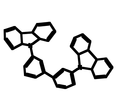 C1=CC2C3C=CC=CC3N(c3cccc(-c4cccc(N5C6C=CC=CC6C6C=CC=CC65)c4)c3)C2C=C1